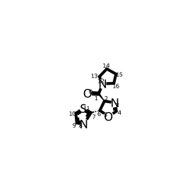 O=C([C@H]1N=CO[C@@H]1c1nccs1)N1CCCC1